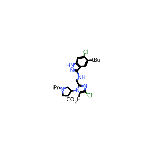 CC(C)N1CCC(n2c(CNc3n[nH]c4cc(Cl)c(C(C)(C)C)cc34)nc(Cl)c2C(=O)O)C1